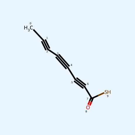 CC#CC#CC#CC(=O)S